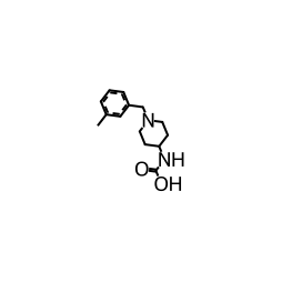 Cc1cccc(CN2CCC(NC(=O)O)CC2)c1